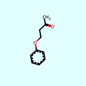 CC(=O)CCOc1ccccc1